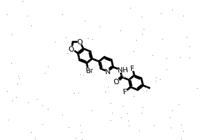 Cc1cc(F)c(C(=O)Nc2ccc(-c3cc4c(cc3Br)OCO4)cn2)c(F)c1